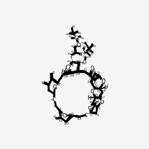 C=C1C(C)CC2CCC3OC(CC[C@@]45CC6OC7C(O4)[C@H]4OC(CCC4O[C@H]7C6O5)CC(=O)CC4[C@H](CC1O2)O[C@H](CC(CO[Si](C)(C)C(C)(C)C)O[Si](C)(C)C(C)(C)C)[C@@H]4OC)CC3C